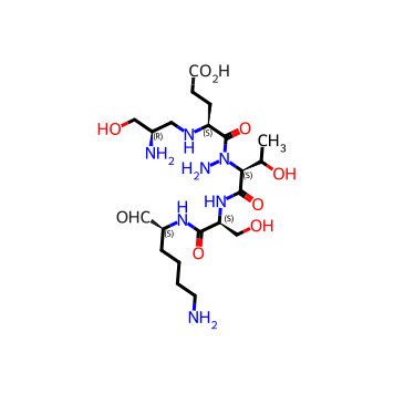 CC(O)[C@@H](C(=O)N[C@@H](CO)C(=O)N[C@H](C=O)CCCCN)N(N)C(=O)[C@H](CCC(=O)O)NC[C@@H](N)CO